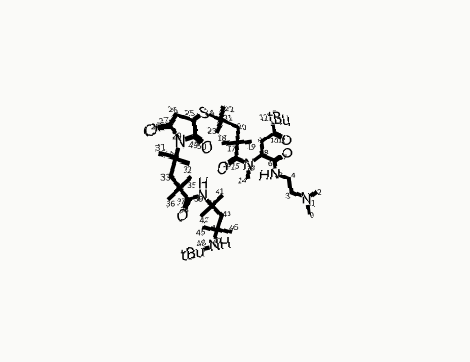 CN(C)CCNC(=O)C(CC(=O)C(C)(C)C)N(C)C(=O)C(C)(C)CC(C)(C)SC1CC(=O)N(C(C)(C)CC(C)(C)C(=O)NC(C)(C)CC(C)(C)NC(C)(C)C)C1=O